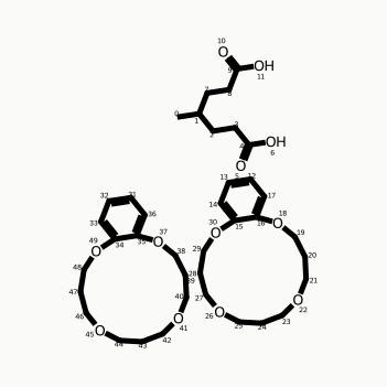 CC(CCC(=O)O)CCC(=O)O.c1ccc2c(c1)OCCCOCCCOCCCO2.c1ccc2c(c1)OCCCOCCCOCCCO2